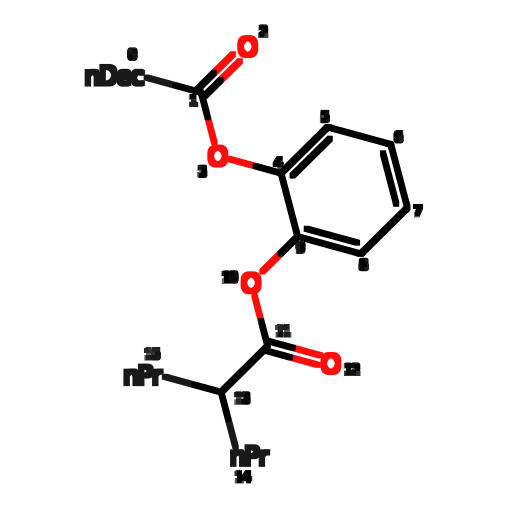 CCCCCCCCCCC(=O)Oc1ccccc1OC(=O)C(CCC)CCC